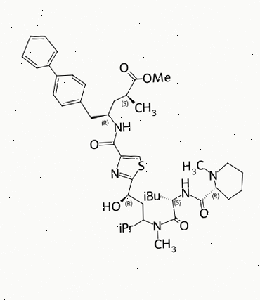 CCC(C)[C@H](NC(=O)[C@H]1CCCCN1C)C(=O)N(C)C(C[C@@H](O)c1nc(C(=O)N[C@@H](Cc2ccc(-c3ccccc3)cc2)C[C@H](C)C(=O)OC)cs1)C(C)C